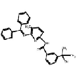 Cc1ccc(NC(=O)c2cccc(C(C)(C)C#N)c2)nc1N=C(c1ccccc1)c1ccccc1